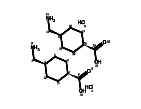 Cl.Cl.NC[C@H]1CC[C@H](C(=O)O)CC1.NC[C@H]1CC[C@H](C(=O)O)CC1